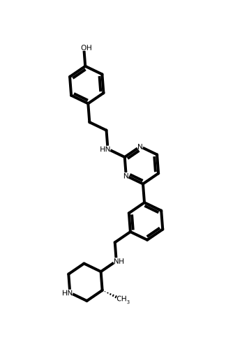 C[C@@H]1CNCCC1NCc1cccc(-c2ccnc(NCCc3ccc(O)cc3)n2)c1